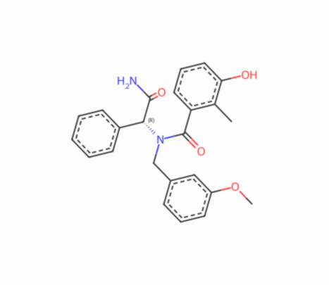 COc1cccc(CN(C(=O)c2cccc(O)c2C)[C@@H](C(N)=O)c2ccccc2)c1